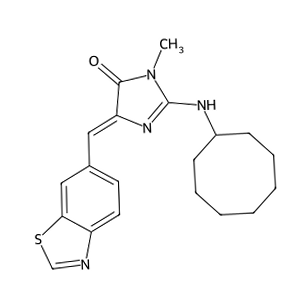 CN1C(=O)/C(=C/c2ccc3ncsc3c2)N=C1NC1CCCCCCC1